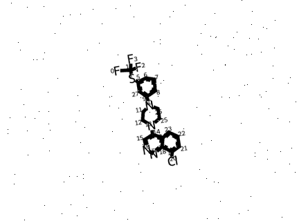 FC(F)(F)Sc1cccc(N2CCN(c3cnnc4c(Cl)cccc34)CC2)c1